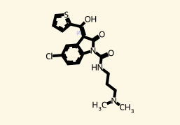 CN(C)CCCNC(=O)N1C(=O)/C(=C(\O)c2cccs2)c2cc(Cl)ccc21